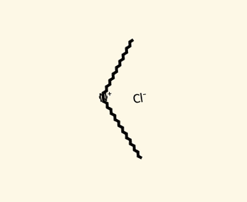 CCCCCCCCCCCCCCCCCCCC[N+](C)(C)CCCCCCCCCCCCCCCCCC.[Cl-]